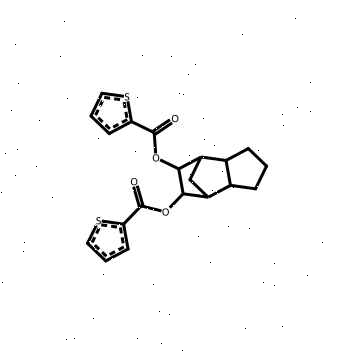 O=C(OC1C2CC(C3CCCC32)C1OC(=O)c1cccs1)c1cccs1